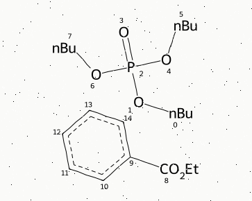 CCCCOP(=O)(OCCCC)OCCCC.CCOC(=O)c1ccccc1